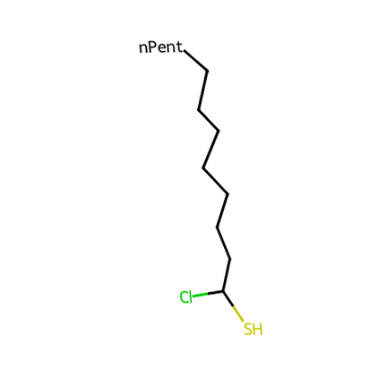 CCCCCCCCCCCCC(S)Cl